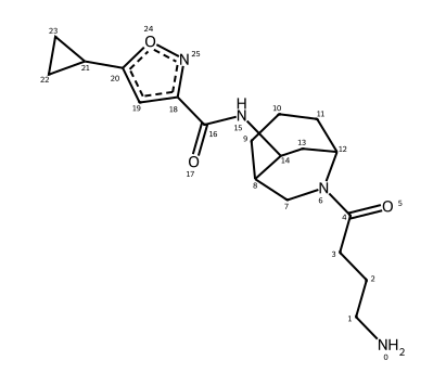 NCCCC(=O)N1CC2CCCC1CC2NC(=O)c1cc(C2CC2)on1